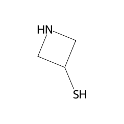 SC1CNC1